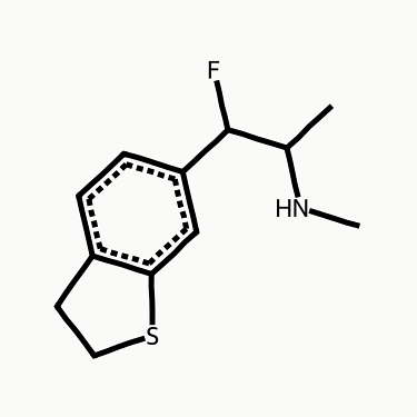 CNC(C)C(F)c1ccc2c(c1)SCC2